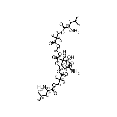 CC(C)C[C@H](N)C(=O)OCC(C)(C)C(=O)OCOP(=O)(OCOC(=O)C(C)(C)COC(=O)[C@@H](N)CC(C)C)C(O)(CCCN)P(=O)(O)O